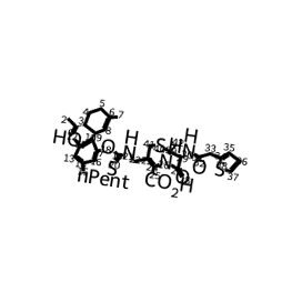 C=C(C)[C@@H]1CCC(C)=C[C@H]1c1c(O)cc(CCCCC)cc1OC(=S)NCC1=C(C(=O)O)N2C(=O)[C@@H](NC(=O)Cc3cccs3)[C@H]2SC1